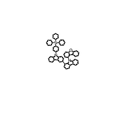 c1ccc([Si](c2ccccc2)(c2ccccc2)c2ccc(-n3c4ccccc4c4cc(-c5cccc6c7ccccc7n(-c7cccc8oc9ccccc9c78)c56)ccc43)cc2)cc1